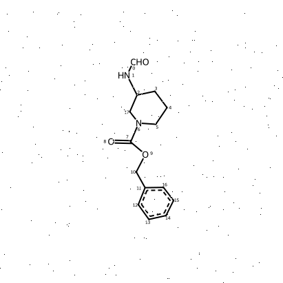 O=CNC1CCCN(C(=O)OCc2ccccc2)C1